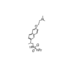 CCCS(=O)(=O)NCC(C)c1ccc2cc(OCCN(C)C)ccc2c1